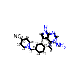 C/C(=C1/c2cc[nH]c2N=CN1N)[C@H]1CC[C@H](CN2CCC(C#N)CC2)CC1